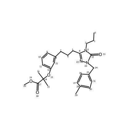 CCCn1c(CCCc2cccc(OC(C)(C)C(=O)OC)c2)nn(Cc2ccc(C)cc2)c1=O